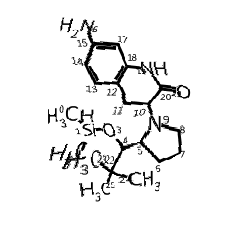 C[SiH](C)OC([C@@H]1CCCN1C1Cc2ccc(N)cc2NC1=O)C(C)(C)C